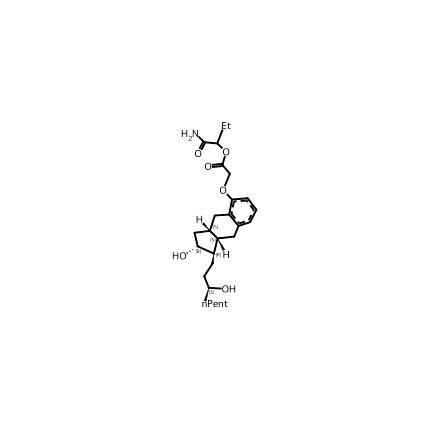 CCCCC[C@H](O)CC[C@@H]1[C@H]2Cc3cccc(OCC(=O)OC(CC)C(N)=O)c3C[C@H]2C[C@H]1O